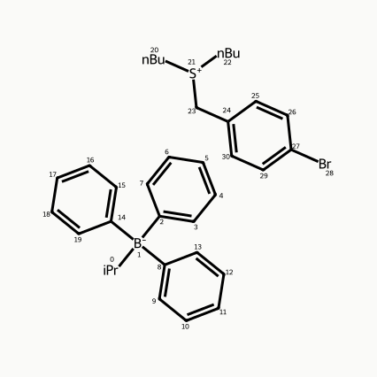 CC(C)[B-](c1ccccc1)(c1ccccc1)c1ccccc1.CCCC[S+](CCCC)Cc1ccc(Br)cc1